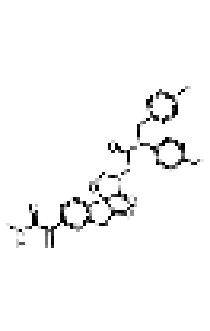 CNC(=O)Nc1ccc2c(c1)CC(=O)[C@]21OCN(CC(=O)N(Cc2ccc(F)cc2)c2ccc(F)cc2)C1=O